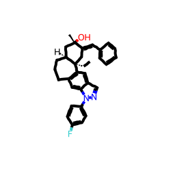 CC[C@@]12C/C(=C\c3ccccc3)[C@@](C)(O)C[C@@H]1CCCc1cc3c(cnn3-c3ccc(F)cc3)cc12